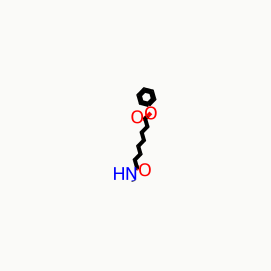 CNC(=O)CCCCCCC(=O)Oc1ccccc1